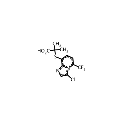 CC(C)(Sc1ccc(C(F)(F)F)n2c(Cl)cnc12)C(=O)O